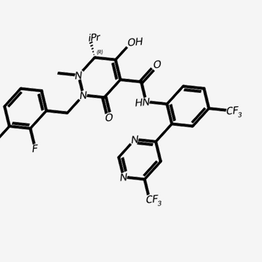 CC(C)[C@@H]1C(O)=C(C(=O)Nc2ccc(C(F)(F)F)cc2-c2cc(C(F)(F)F)ncn2)C(=O)N(Cc2cccc(F)c2F)N1C